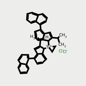 CC(C)C1=Cc2c(-c3cccc4ccccc34)cccc2[CH]1[Ti+2]1([CH]2C(C(C)C)=Cc3c(-c4cccc5ccccc45)cccc32)[CH2][CH2]1.[Cl-].[Cl-]